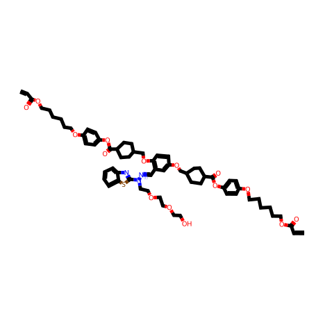 C=CC(=O)OCCCCCCOc1ccc(OC(=O)C2CCC(COc3ccc(OCC4CCC(C(=O)Oc5ccc(OCCCCCCOC(=O)C=C)cc5)CC4)c(/C=N/N(CCOCCOCCO)c4nc5ccccc5s4)c3)CC2)cc1